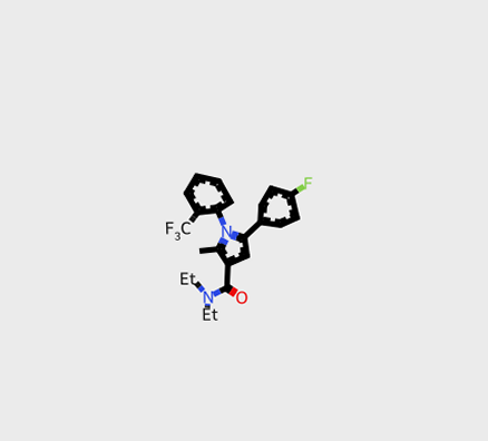 CCN(CC)C(=O)c1cc(-c2ccc(F)cc2)n(-c2ccccc2C(F)(F)F)c1C